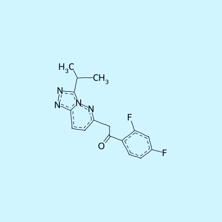 CC(C)c1nnc2ccc(CC(=O)c3ccc(F)cc3F)nn12